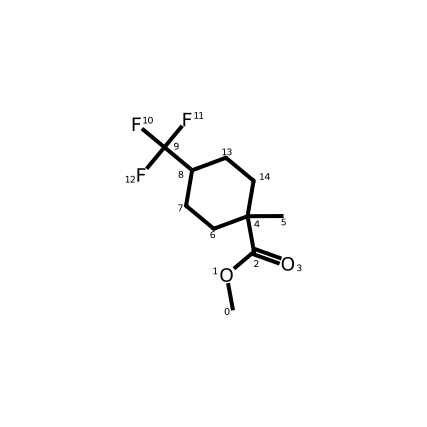 COC(=O)C1(C)CCC(C(F)(F)F)CC1